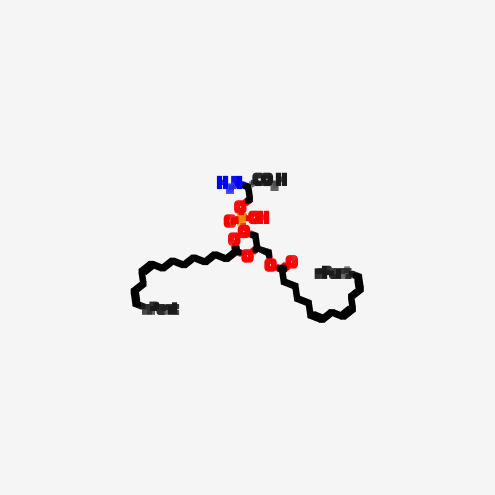 CCCCC/C=C\C/C=C\C/C=C\CCCCC(=O)OC[C@H](COP(=O)(O)OC[C@H](N)C(=O)O)OC(=O)CCCCCCC/C=C\C/C=C\CCCCC